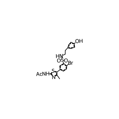 CC(=O)Nc1nc(C)c(-c2ccc(Br)c(S(=O)(=O)NCCc3ccc(O)cc3)c2)s1